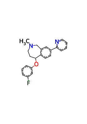 CN1CCC(Oc2cccc(F)c2)c2ccc(-c3ccccn3)cc2C1